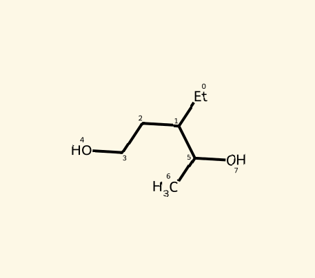 CCC(CCO)C(C)O